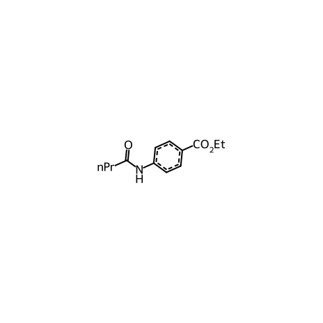 CCCC(=O)Nc1ccc(C(=O)OCC)cc1